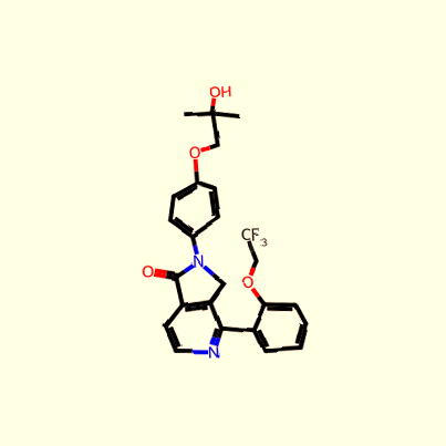 CC(C)(O)COc1ccc(N2Cc3c(ccnc3-c3ccccc3OCC(F)(F)F)C2=O)cc1